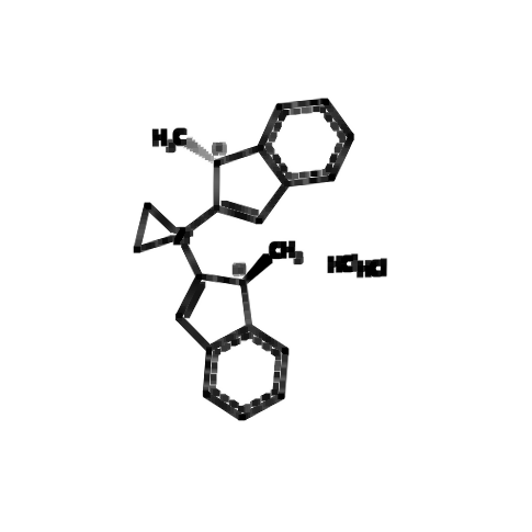 C[C@@H]1[C]([Zr]2([C]3=Cc4ccccc4[C@H]3C)[CH2][CH2]2)=Cc2ccccc21.Cl.Cl